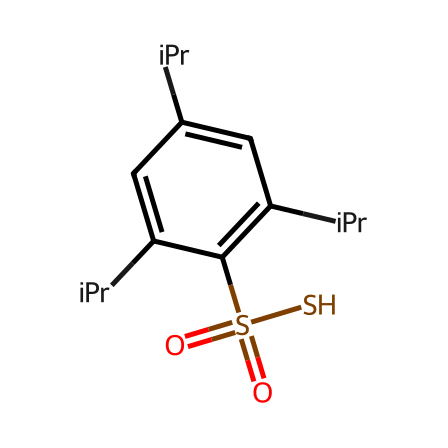 CC(C)c1cc(C(C)C)c(S(=O)(=O)S)c(C(C)C)c1